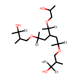 CCCC(O)(CC)C(C)COC(C)(CC)CC(CC(C)(CC)OCC(C)C(C)(O)CC)C(C)(CC)OCC(C)O